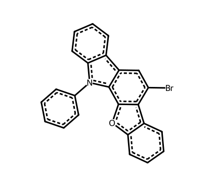 Brc1cc2c3ccccc3n(-c3ccccc3)c2c2oc3ccccc3c12